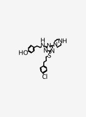 Oc1ccc(CCNc2nc(SCCCc3ccc(Cl)cc3)nc(N3CCNCC3)n2)cc1